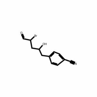 N#Cc1ccc(CC(O)CC(Br)C=O)cc1